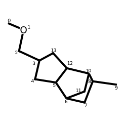 COCC1CC2C3CC(C)C(C3)C2C1